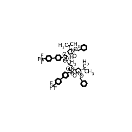 CC(C)[C@H]1C[C@@H](NS(=O)(=O)c2ccc(-c3ccc(C(F)(F)F)cc3)cc2)C(=O)N1OCc1ccccc1.CCCN([C@@H]1C[C@H](C(C)C)N(OCc2ccccc2)C1=O)S(=O)(=O)c1ccc(-c2ccc(C(F)(F)F)cc2)cc1